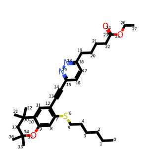 CCCCCCSc1cc2c(cc1C#Cc1ccc(CCCCC(=O)OCC)nn1)C(C)(C)CC(C)(C)O2